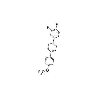 Fc1ccc(-c2ccc(-c3ccc(OC(F)(F)F)cc3)cc2)cc1F